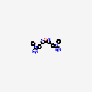 c1ccc(-n2c3cc(-c4cnc5oc6ncc(-c7ccc8c9nnncc9n(-c9ccccc9)c8c7)cc6c5c4)ccc3c3nnncc32)cc1